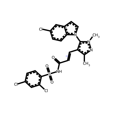 Cc1nn(C)c(-n2ccc3cc(Cl)ccc32)c1/C=C/C(=O)NS(=O)(=O)c1ccc(Cl)cc1Cl